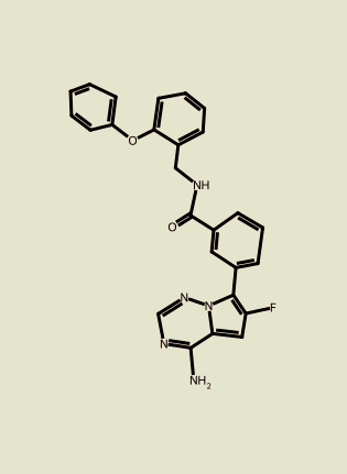 Nc1ncnn2c(-c3cccc(C(=O)NCc4ccccc4Oc4ccccc4)c3)c(F)cc12